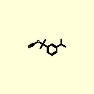 CC(C)c1cccc(C(C)(C)OC#N)c1